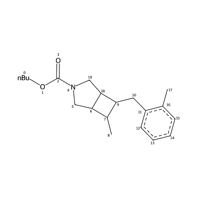 CCCCOC(=O)N1CC2C(C)C(Cc3ccccc3C)C2C1